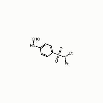 CCN(CC)S(=O)(=O)c1ccc(NC=O)cc1